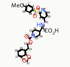 COc1ccc(S(=O)(=O)c2cc(CN[C@@H](C(=O)O)C3CCN(C(=O)OCCc4cccc5c4OCO5)CC3)ccn2)cc1